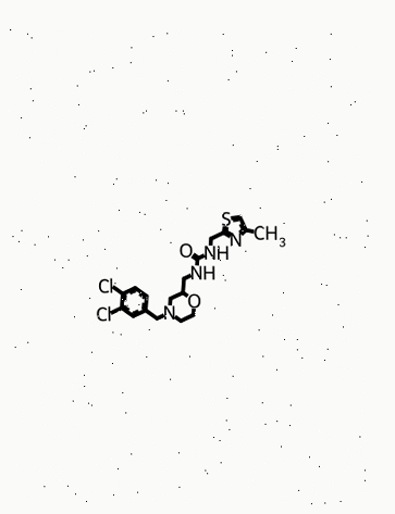 Cc1csc(CNC(=O)NCC2CN(Cc3ccc(Cl)c(Cl)c3)CCO2)n1